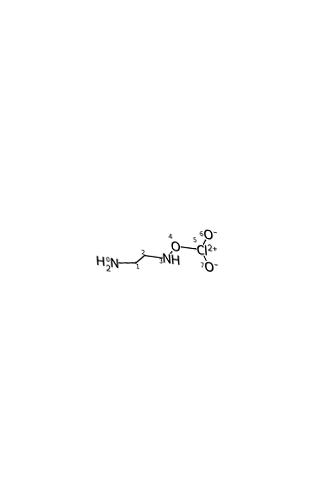 NCCNO[Cl+2]([O-])[O-]